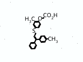 Cc1ccc(/C(=C\CSc2ccc(OCC(=O)O)c(C)c2)c2ccccc2)cc1